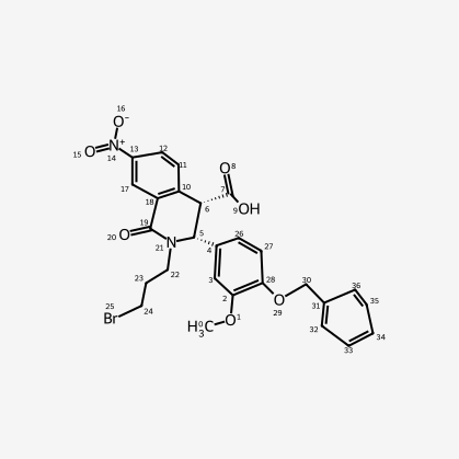 COc1cc([C@H]2[C@@H](C(=O)O)c3ccc([N+](=O)[O-])cc3C(=O)N2CCCBr)ccc1OCc1ccccc1